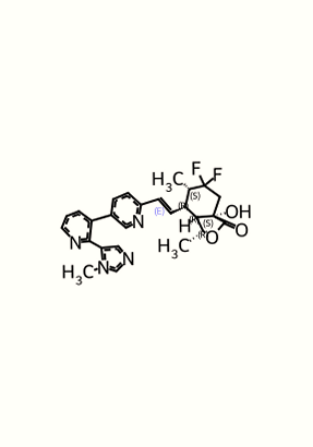 C[C@H]1OC(=O)[C@]2(O)CC(F)(F)[C@@H](C)[C@H](/C=C/c3ccc(-c4cccnc4-c4cncn4C)cn3)[C@H]12